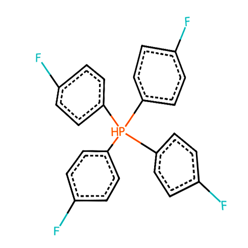 Fc1ccc([PH](c2ccc(F)cc2)(c2ccc(F)cc2)c2ccc(F)cc2)cc1